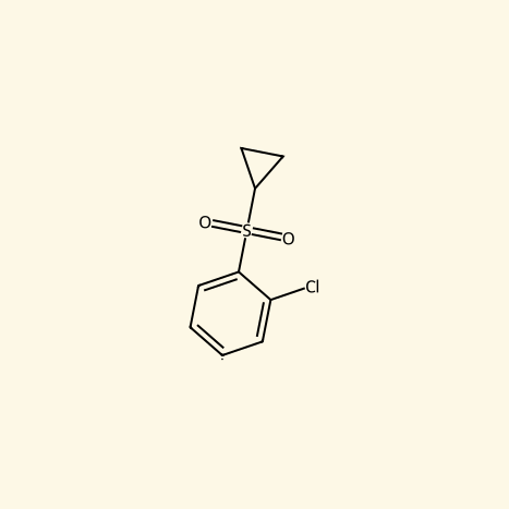 O=S(=O)(c1cc[c]cc1Cl)C1CC1